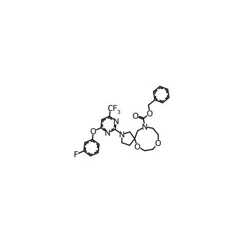 O=C(OCc1ccccc1)N1CCOCCOC2(CCN(c3nc(Oc4cccc(F)c4)cc(C(F)(F)F)n3)C2)C1